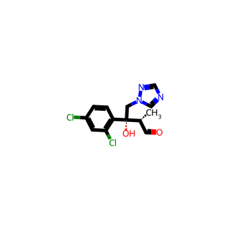 C[C@H](C=O)[C@](O)(Cn1cncn1)c1ccc(Cl)cc1Cl